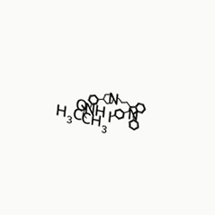 CC(C)C(=O)Nc1cccc(C2CCN(CCCc3c(-c4ccc(I)cc4)n(-c4ccccc4)c4ccccc34)CC2)c1